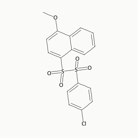 COc1ccc(S(=O)(=O)S(=O)(=O)c2ccc(Cl)cc2)c2ccccc12